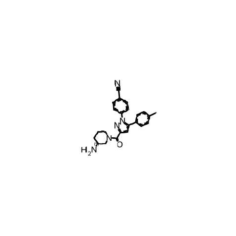 Cc1ccc(-c2cc(C(=O)N3CCC[C@H](N)C3)nn2-c2ccc(C#N)cc2)cc1